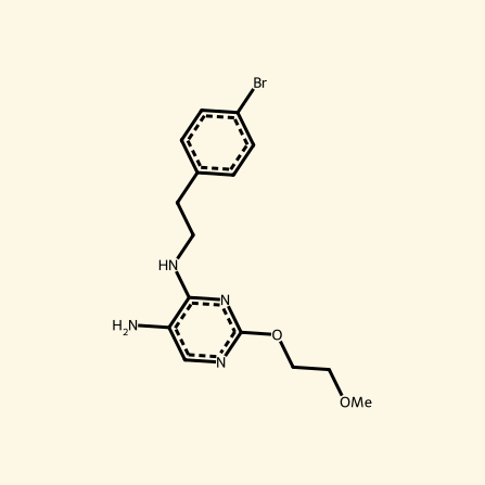 COCCOc1ncc(N)c(NCCc2ccc(Br)cc2)n1